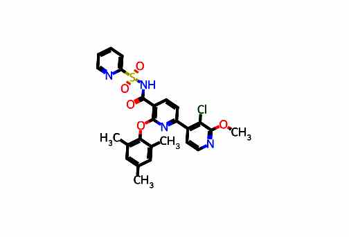 COc1nccc(-c2ccc(C(=O)NS(=O)(=O)c3ccccn3)c(Oc3c(C)cc(C)cc3C)n2)c1Cl